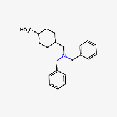 O=C(O)C1CCC(CN(Cc2ccccc2)Cc2ccccc2)CC1